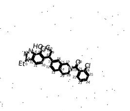 CCn1nnc2c(C)c(C(CC(=O)O)c3ccc4c(c3)CN(C(=O)c3ccccc3Cl)CC4)ccc21